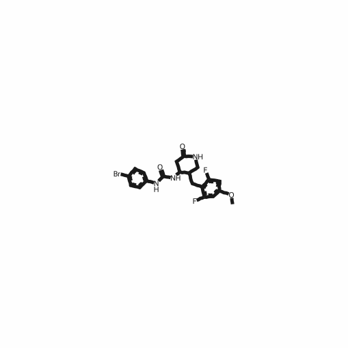 COc1cc(F)c(CC2CNC(=O)CC2NC(=O)Nc2ccc(Br)cc2)c(F)c1